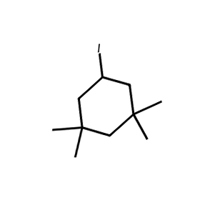 CC1(C)CC(I)CC(C)(C)C1